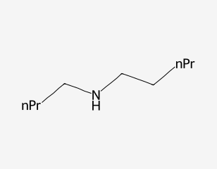 [CH2]CCCNCCCCC